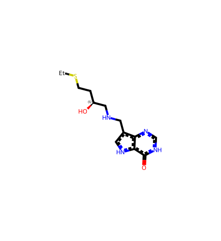 CCSCC[C@H](O)CNCc1c[nH]c2c(=O)[nH]cnc12